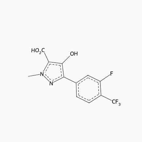 Cn1nc(-c2ccc(C(F)(F)F)c(F)c2)c(O)c1C(=O)O